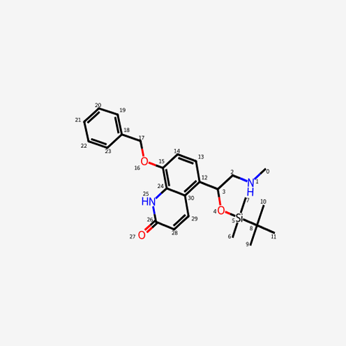 CNCC(O[Si](C)(C)C(C)(C)C)c1ccc(OCc2ccccc2)c2[nH]c(=O)ccc12